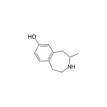 CC1Cc2cc(O)ccc2CCN1